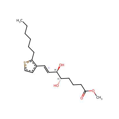 CCCCCCc1sccc1/C=C/[C@@H](O)[C@@H](O)CCCC(=O)OC